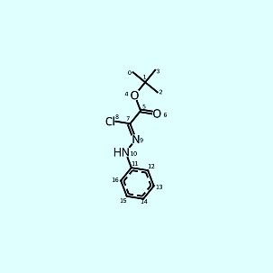 CC(C)(C)OC(=O)C(Cl)=NNc1ccccc1